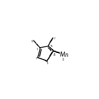 CC1=CC[C]([Mn])=C1C